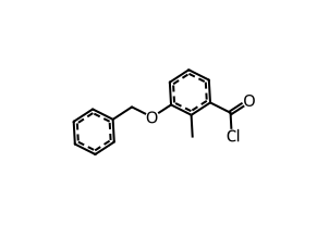 Cc1c(OCc2ccccc2)cccc1C(=O)Cl